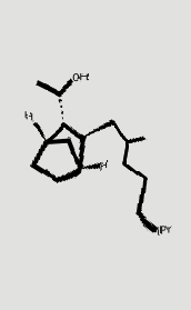 CC(C)CCCC(C)C[C@H]1[C@@H]2CC[C@@H](C2)[C@@H]1C(C)O